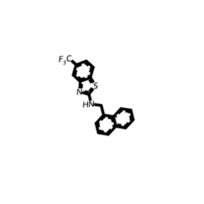 FC(F)(F)c1ccc2sc(NCc3cccc4ccccc34)nc2c1